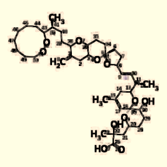 C=C1CC2O[C@]3(CCC(/C=C/[C@@H](C)C4CC(C)=C[C@@]5(OC(CC(C)(O)C(=O)O)CCC5O)O4)O3)CCC2OC1CC[C@H](C)C1CCCCCCCOO1